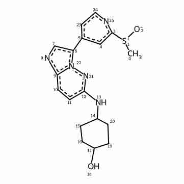 C[S+]([O-])c1cc(-c2cnc3ccc(NC4CCC(O)CC4)nn23)ccn1